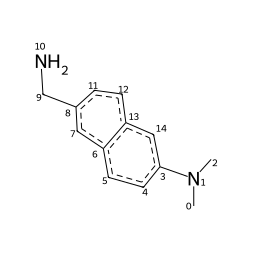 CN(C)c1ccc2cc(CN)ccc2c1